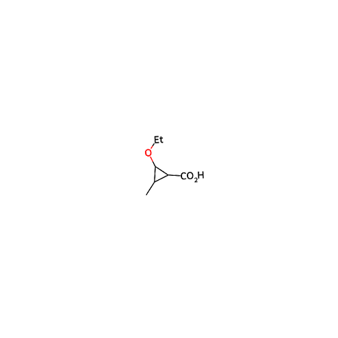 CCOC1C(C)C1C(=O)O